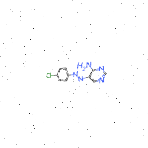 Nc1ncncc1N=Nc1ccc(Cl)cc1